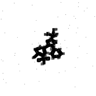 Cc1ccc(-c2cc(C(F)(F)F)nn2-c2ccccc2)cc1S(C)(=O)=O